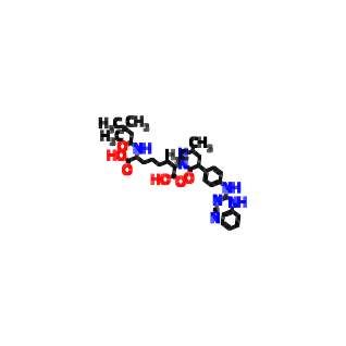 CC(C)CC(C(=O)NC(CCCCC(NC(=O)CC(C)(C)C)C(=O)O)C(=O)O)c1ccc(NC(=NC#N)Nc2ccccc2)cc1